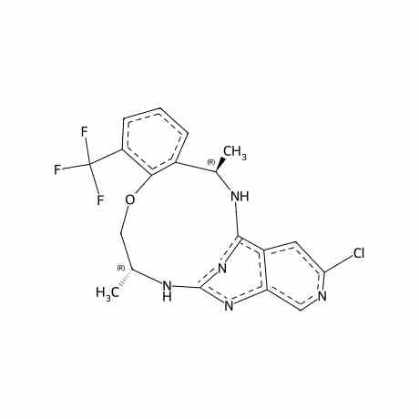 C[C@@H]1COc2c(cccc2C(F)(F)F)[C@@H](C)Nc2nc(nc3cnc(Cl)cc23)N1